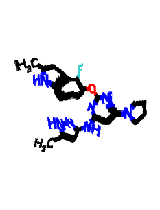 Cc1cc(Nc2cc(N3CCCC3)nc(Oc3ccc4[nH]c(C)cc4c3F)n2)n[nH]1